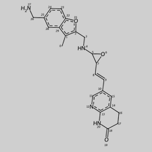 Cc1c(CNC2OC2/C=C/c2cnc3c(c2)CCC(=O)N3)oc2ccc(CN)cc12